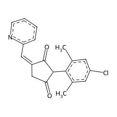 Cc1cc(Cl)cc(C)c1C1C(=O)CC(=Cc2ccccn2)C1=O